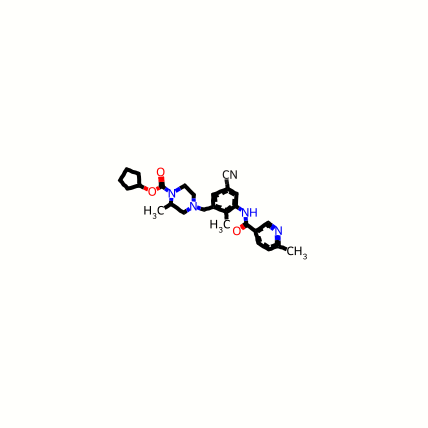 Cc1ccc(C(=O)Nc2cc(C#N)cc(CN3CCN(C(=O)OC4CCCC4)C(C)C3)c2C)cn1